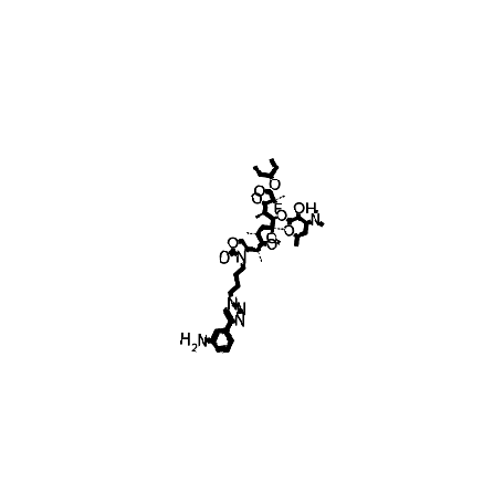 CCC(CC)OC(=O)[C@@](C)(F)C(=O)[C@H](C)[C@@H](OC1OC(C)CC(N(C)C)C1O)[C@](C)(C[C@@H](C)C(=O)[C@H](C)C1COC(=O)N1CCCCn1cc(-c2cccc(N)c2)nn1)OC